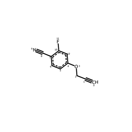 C#CCOc1ccc(C#N)c(F)c1